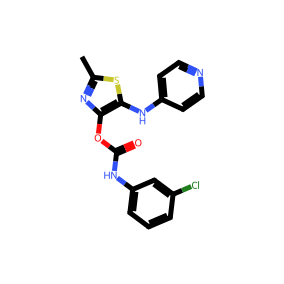 Cc1nc(OC(=O)Nc2cccc(Cl)c2)c(Nc2ccncc2)s1